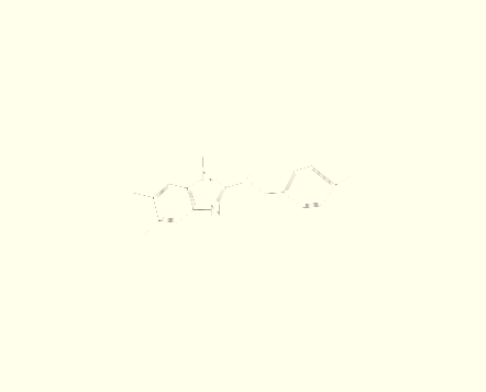 Cc1ccc(CSc2nc3cc(C)c(C)cc3[nH]2)cc1